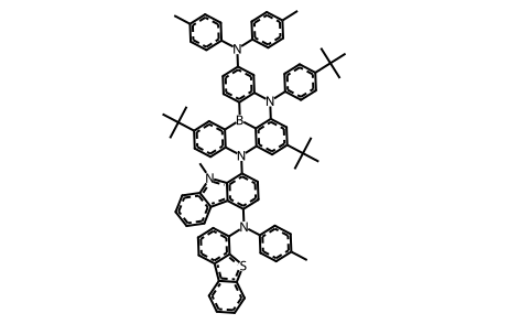 Cc1ccc(N(c2ccc(C)cc2)c2ccc3c(c2)N(c2ccc(C(C)(C)C)cc2)c2cc(C(C)(C)C)cc4c2B3c2cc(C(C)(C)C)ccc2N4c2ccc(N(c3ccc(C)cc3)c3cccc4c3sc3ccccc34)c3c4ccccc4n(C)c23)cc1